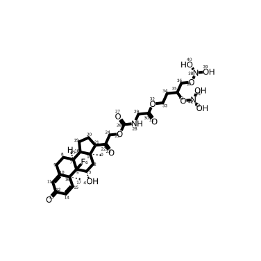 C[C@]12C[C@H](O)C3(F)[C@@H](CCC4=CC(=O)C=C[C@@]43C)C1CCC2C(=O)COC(=O)NCC(=O)OCCC(CON(O)O)ON(O)O